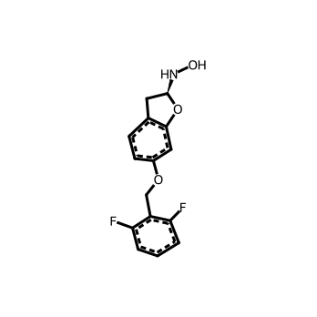 ON[C@@H]1Cc2ccc(OCc3c(F)cccc3F)cc2O1